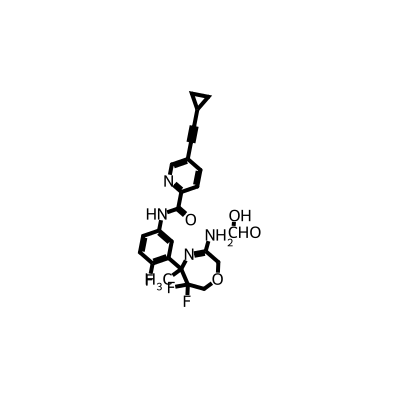 CC1(c2cc(NC(=O)c3ccc(C#CC4CC4)cn3)ccc2F)N=C(N)COCC1(F)F.O=CO